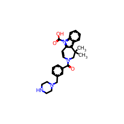 CC1(C)CN(C(=O)c2cccc(CN3CCNCC3)c2)C=Cc2c1c1ccccc1n2C(=O)O